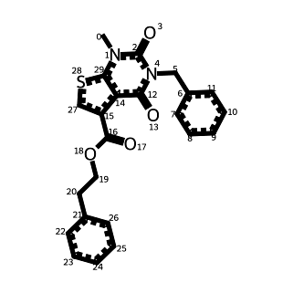 Cn1c(=O)n(Cc2ccccc2)c(=O)c2c(C(=O)OCCc3ccccc3)csc21